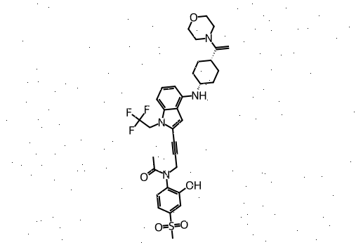 C=C([C@H]1CC[C@@H](Nc2cccc3c2cc(C#CCN(C(C)=O)c2ccc(S(C)(=O)=O)cc2O)n3CC(F)(F)F)CC1)N1CCOCC1